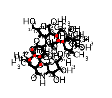 CC1(C)CC(C(=O)NC2C(O)OC(CO)C(OC3OC(CO)C(OC4OC(CO)C(O)C(O)C4NC(=O)C4CC(C)(C)N(O)C(C)(C)C4)C(O)C3NC(=O)C3CC(C)(C)N(O)C(C)(C)C3)C2O)CC(C)(C)N1O